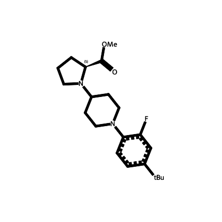 COC(=O)[C@@H]1CCCN1C1CCN(c2ccc(C(C)(C)C)cc2F)CC1